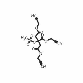 C#CCOC(=O)CC(CC(=O)OCC#C)(OS(C)(=O)=O)C(=O)OCC#C